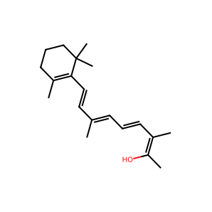 CC(C=CC1=C(C)CCCC1(C)C)=CC=CC(C)=C(C)O